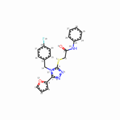 O=C(CSc1nnc(-c2ccco2)n1Cc1ccc(F)cc1)Nc1ccccc1